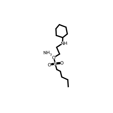 CCCCCS(=O)(=O)OCCNC1CCCCC1.N